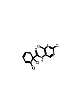 O=C(Nc1cnc(Cl)nc1Cl)C1(Cl)CC=CC=C1Cl